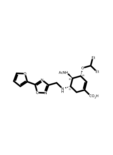 CCC(CC)O[C@@H]1C=C(C(=O)O)C[C@H](NCc2noc(-c3ccco3)n2)[C@H]1NC(C)=O